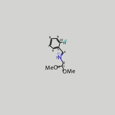 COC(C/N=C/c1ccccc1F)OC